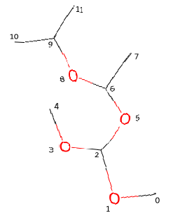 COC(OC)OC(C)OC(C)C